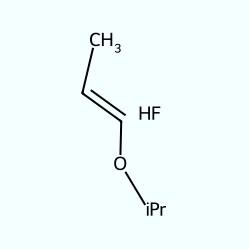 CC=COC(C)C.F